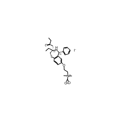 CCC(=O)C[C@@]1(CC)CSc2ccc(OCC[N+](C)(C)C3OO3)cc2[C@H](c2ccccc2)N1.[I-]